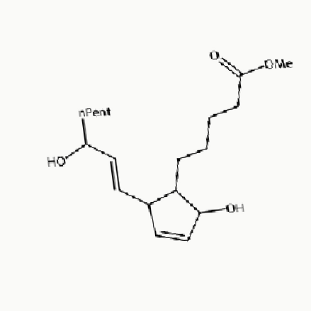 CCCCCC(O)C=CC1C=CC(O)C1CCCCC(=O)OC